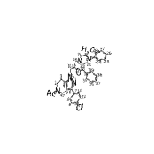 CC(=O)N1CCc2c(c(-c3ccc(Cl)cc3)nn2CC(CN2CCN(c3ccccc3C)CC2)OCc2ccccc2)C1